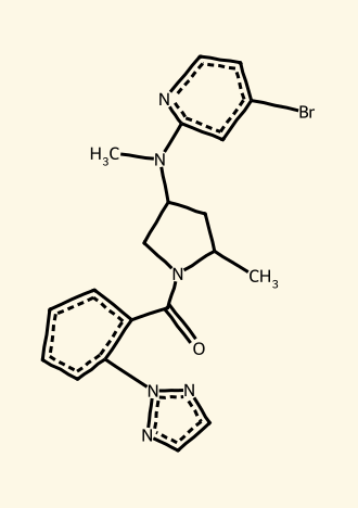 CC1CC(N(C)c2cc(Br)ccn2)CN1C(=O)c1ccccc1-n1nccn1